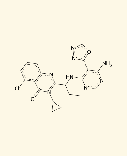 CCC(Nc1ncnc(N)c1-c1nnco1)c1nc2cccc(Cl)c2c(=O)n1C1CC1